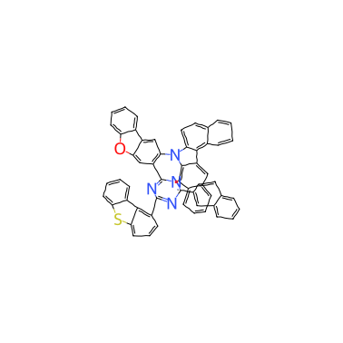 c1ccc2cc(-c3nc(-c4cc5oc6ccccc6c5cc4-n4c5cc6ccccc6cc5c5c6ccccc6ccc54)nc(-c4cccc5sc6ccccc6c45)n3)ccc2c1